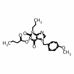 CCCC(=O)On1c(=O)c2c(ncn2Cc2ccc(OC)cc2)n(CCC)c1=O